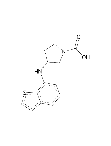 O=C(O)N1CC[C@@H](Nc2cccc3ccsc23)C1